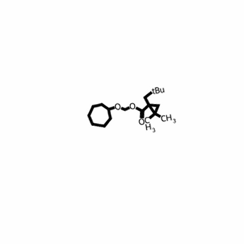 CC(C)(C)CC1(C(=O)OCOC2CCCCCC2)CC1(C)C